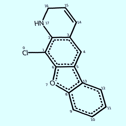 Clc1c2c(cc3c1oc1ccccc13)C=CCN2